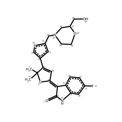 CC1(C)OC(=C2C(=O)Nc3cc(F)ccc32)C=C1c1csc(CN2CCOC(CO)C2)c1